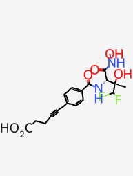 C[C@@](O)(C(F)F)[C@H](NC(=O)c1ccc(C#CCCC(=O)O)cc1)C(=O)NO